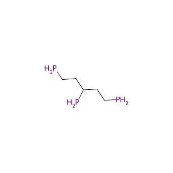 PCCC(P)CCP